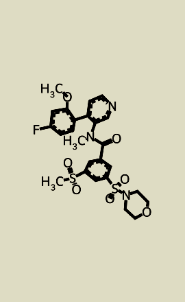 COc1cc(F)ccc1-c1ccncc1N(C)C(=O)c1cc(S(C)(=O)=O)cc(S(=O)(=O)N2CCOCC2)c1